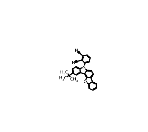 CC(C)(C)c1ccc2c(c1)c1c3oc4ccccc4c3ccc1n2-c1cccc(C#N)c1C#N